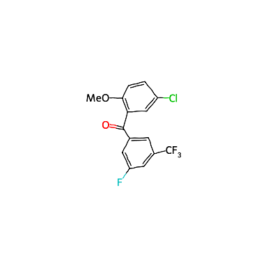 COc1ccc(Cl)cc1C(=O)c1cc(F)cc(C(F)(F)F)c1